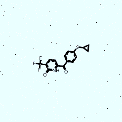 O=C(c1ccc(SC2CC2)cc1)c1ccc(C(F)(F)F)c(=O)[nH]1